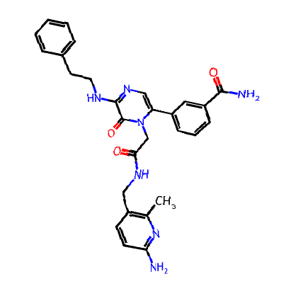 Cc1nc(N)ccc1CNC(=O)Cn1c(-c2cccc(C(N)=O)c2)cnc(NCCc2ccccc2)c1=O